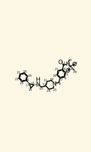 CN(C(=O)c1ccc(CN2CCC(CN[C@@H]3C[C@H]3c3ccccc3)CC2)cc1)S(C)(=O)=O